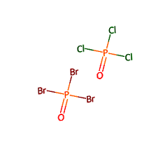 O=P(Br)(Br)Br.O=P(Cl)(Cl)Cl